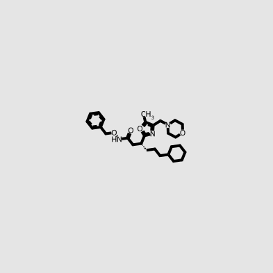 Cc1oc([C@H](CCCC2CCCCC2)CC(=O)NOCc2ccccc2)nc1CN1CCOCC1